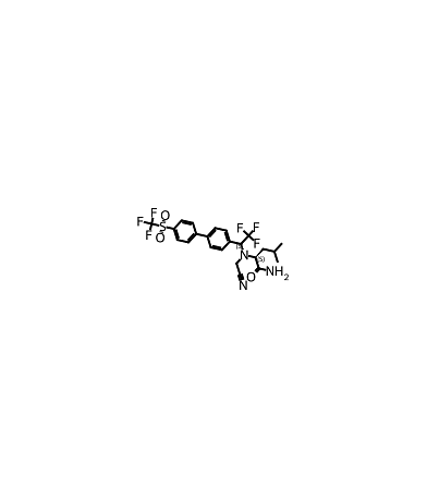 CC(C)C[C@@H](C(N)=O)N(CC#N)[C@@H](c1ccc(-c2ccc(S(=O)(=O)C(F)(F)F)cc2)cc1)C(F)(F)F